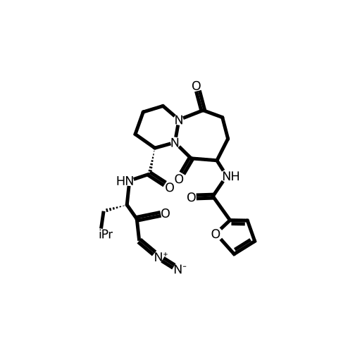 CC(C)C[C@H](NC(=O)[C@@H]1CCCN2C(=O)CCC(NC(=O)c3ccco3)C(=O)N12)C(=O)C=[N+]=[N-]